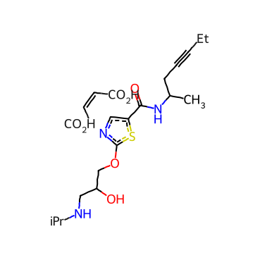 CCC#CCC(C)NC(=O)c1cnc(OCC(O)CNC(C)C)s1.O=C(O)/C=C\C(=O)O